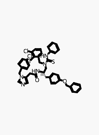 N#Cc1ccc(Cn2cncc2CC(=O)N[C@@H](Cc2ccc(OCc3ccccc3)cc2)CN(Cc2cccc(Cl)c2Cl)C(=S)Nc2ccccc2)cc1